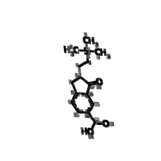 C[Si](C)(C)CCC1Cc2ccc(C(=O)O)cc2C1=O